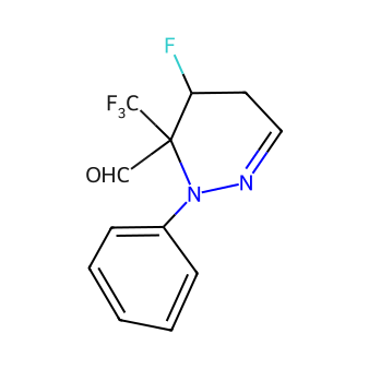 O=CC1(C(F)(F)F)C(F)CC=NN1c1ccccc1